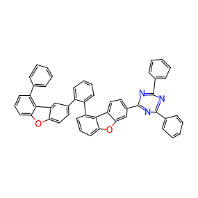 c1ccc(-c2nc(-c3ccccc3)nc(-c3ccc4c(c3)oc3cccc(-c5ccccc5-c5ccc6oc7cccc(-c8ccccc8)c7c6c5)c34)n2)cc1